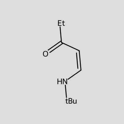 CCC(=O)/C=C\NC(C)(C)C